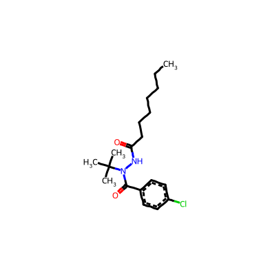 CCCCCCCC(=O)NN(C(=O)c1ccc(Cl)cc1)C(C)(C)C